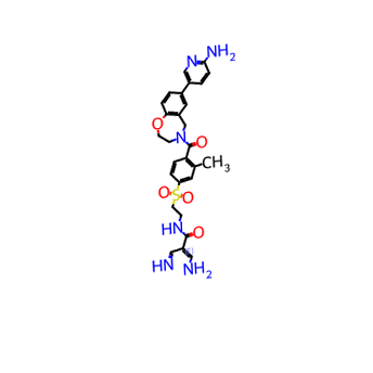 Cc1cc(S(=O)(=O)CCNC(=O)/C(C=N)=C/N)ccc1C(=O)N1CCOc2ccc(-c3ccc(N)nc3)cc2C1